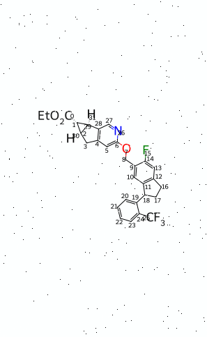 CCOC(=O)[C@H]1[C@@H]2Cc3cc(OCc4cc5c(cc4F)CCC5c4ccccc4C(F)(F)F)ncc3[C@@H]21